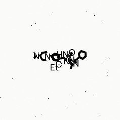 CCOc1cc(N2CCC(N(C)C)CC2)ccc1-c1nc2c(C)nc(C3CCCCC3)n2c(=O)[nH]1